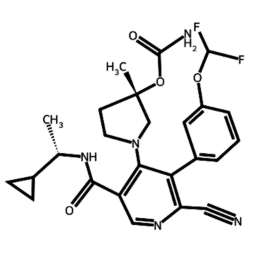 C[C@H](NC(=O)c1cnc(C#N)c(-c2cccc(OC(F)F)c2)c1N1CC[C@](C)(OC(N)=O)C1)C1CC1